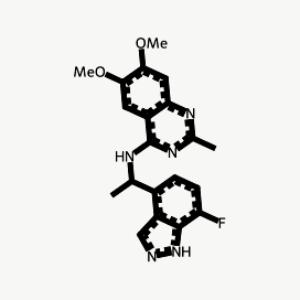 COc1cc2nc(C)nc(NC(C)c3ccc(F)c4[nH]ncc34)c2cc1OC